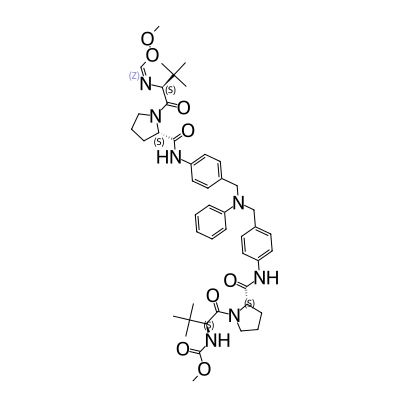 COO/C=N\[C@H](C(=O)N1CCC[C@H]1C(=O)Nc1ccc(CN(Cc2ccc(NC(=O)[C@@H]3CCCN3C(=O)[C@@H](NC(=O)OC)C(C)(C)C)cc2)c2ccccc2)cc1)C(C)(C)C